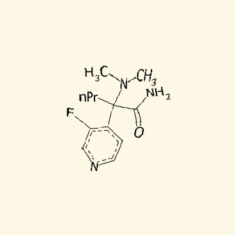 CCCC(C(N)=O)(c1ccncc1F)N(C)C